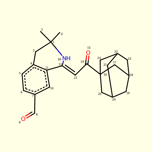 CC1(C)Cc2ccc(C=O)cc2C(=CC(=O)C23CC4CC(CC(C4)C2)C3)N1